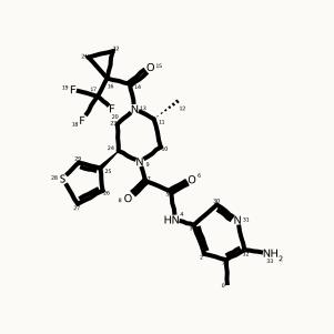 Cc1cc(NC(=O)C(=O)N2C[C@@H](C)N(C(=O)C3(C(F)(F)F)CC3)C[C@@H]2c2ccsc2)cnc1N